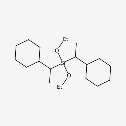 CCO[Si](OCC)(C(C)C1CCCCC1)C(C)C1CCCCC1